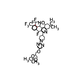 CC1(C)Cc2nc(C3CCN(c4ncc(OCC5COC(C)(C)O5)cn4)CC3)c(C(F)c3ccc(C(F)(F)F)cc3)c(C3CCC(F)(F)CC3)c2C(O)C1